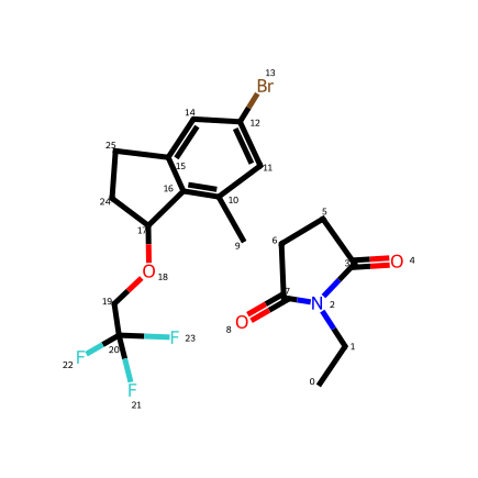 CCN1C(=O)CCC1=O.Cc1cc(Br)cc2c1C(OCC(F)(F)F)CC2